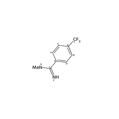 CNC(=N)c1ccc(C(F)(F)F)cc1